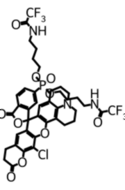 O=C1CCc2cc3c(c(Cl)c2O1)Oc1c(cc2c4c1CCCN4CCC2)C31OC(=O)c2ccc(P(=O)(OCCCCNC(=O)C(F)(F)F)OCCCCNC(=O)C(F)(F)F)cc21